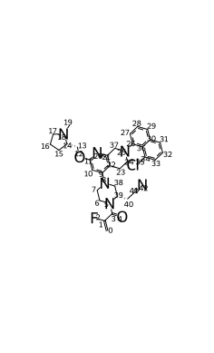 C=C(F)C(=O)N1CCN(c2cc(OC[C@@H]3CCCN3C)nc3c2CCN(c2cccc4cccc(Cl)c24)C3)C[C@@H]1CC#N